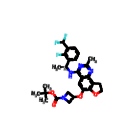 Cc1nc(N[C@H](C)c2cccc(C(F)F)c2F)c2cc(OC3CN(C(=O)OC(C)(C)C)C3)c3c(c2n1)CCO3